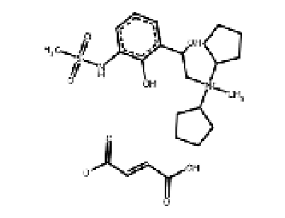 C[N+](CC(O)c1cccc(NS(C)(=O)=O)c1O)(C1CCCC1)C1CCCC1.O=C([O-])C=CC(=O)O